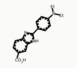 CCN(CC)c1ccc(-c2nc3ccc(C(=O)O)cc3[nH]2)cc1